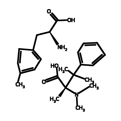 CN(C)[C@](C)(C(=O)O)C(C)(C)c1ccccc1.Cc1ccc(C[C@H](N)C(=O)O)cc1